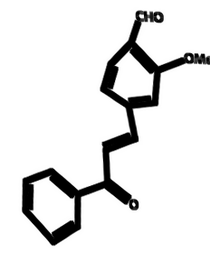 COc1cc(/C=C/C(=O)c2ccccc2)ccc1C=O